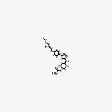 CCCCNN=Cc1ccc(C2=NOC(C=C3CCN(CC(=O)O)CC3)C2)cc1